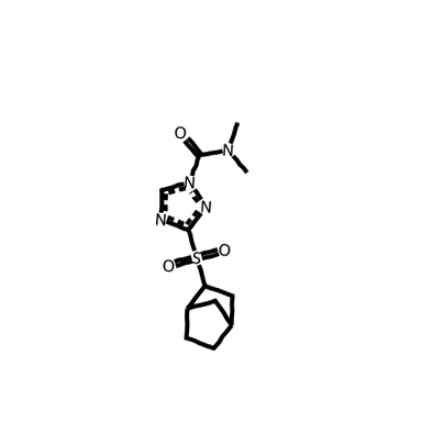 CN(C)C(=O)n1cnc(S(=O)(=O)C2CC3CCC2C3)n1